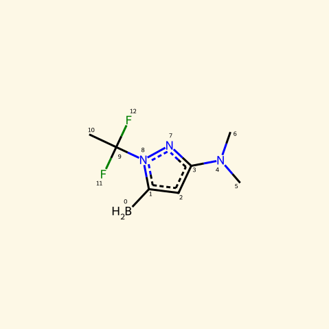 Bc1cc(N(C)C)nn1C(C)(F)F